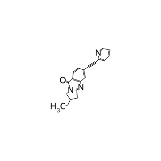 CCC1Cc2nc3cc(C#Cc4ccccn4)ccc3c(=O)n2C1